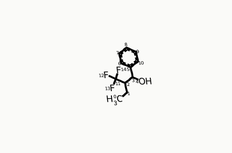 CCC(C(O)c1ccccc1)C(F)(F)F